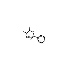 C=C(OC(=O)c1ccccc1)C(C)O